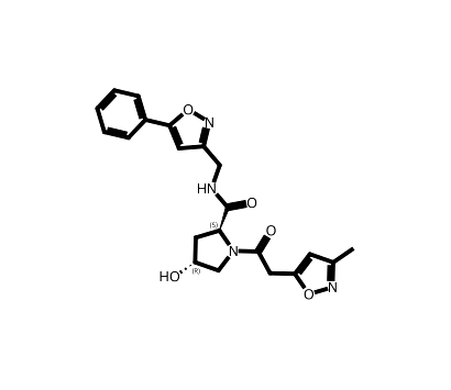 Cc1cc(CC(=O)N2C[C@H](O)C[C@H]2C(=O)NCc2cc(-c3ccccc3)on2)on1